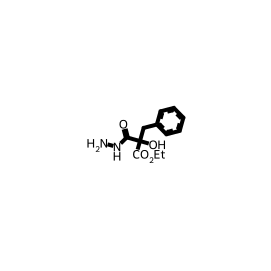 CCOC(=O)C(O)(Cc1ccccc1)C(=O)NN